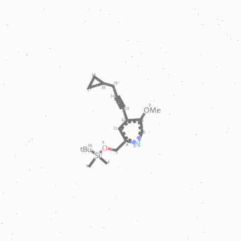 COc1cnc(CO[Si](C)(C)C(C)(C)C)cc1C#CCC1CC1